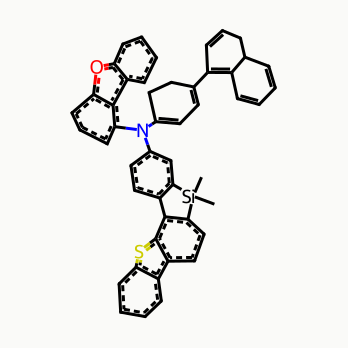 C[Si]1(C)c2cc(N(C3=CC=C(C4=C5C=CC=CC5CC=C4)CC3)c3cccc4oc5ccccc5c34)ccc2-c2c1ccc1c2sc2ccccc21